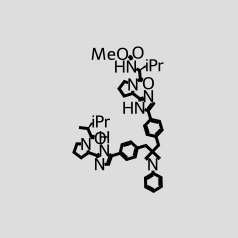 COC(=O)N[C@H](C(=O)N1CCCC1c1ncc(-c2ccc(CC3(Cc4ccc(-c5cnc(C6CCCN6C(=O)[C@@H](C)C(C)C)[nH]5)cc4)CN(c4ccccc4)C3)cc2)[nH]1)C(C)C